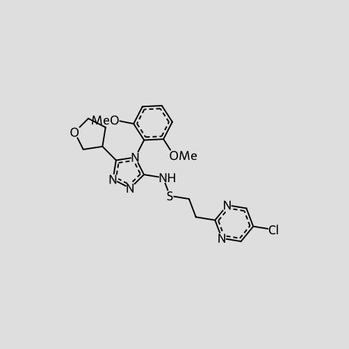 COc1cccc(OC)c1-n1c(NSCCc2ncc(Cl)cn2)nnc1C1CCOC1